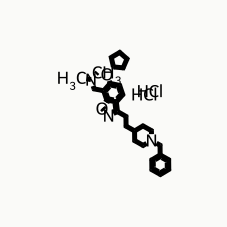 CN(C)Cc1c(OC2CCCC2)ccc2c(CCC3CCN(Cc4ccccc4)CC3)noc12.Cl.Cl